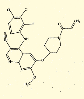 C=CC(=O)N1CCC(OC2=CC3C(Nc4ccc(Cl)c(Cl)c4F)=C(C#N)C=NC3C=C2OC)CC1